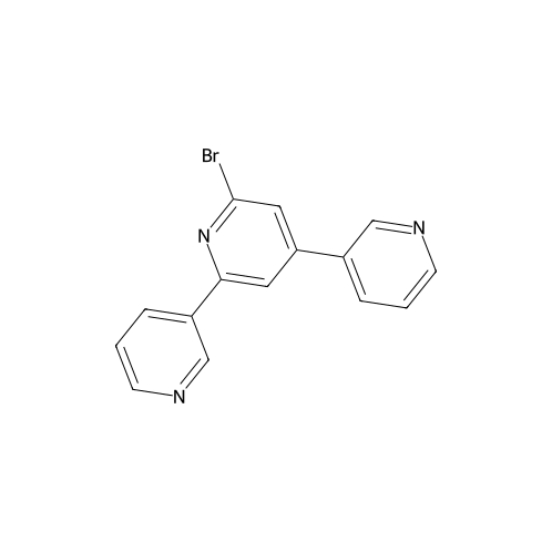 Brc1cc(-c2cccnc2)cc(-c2cccnc2)n1